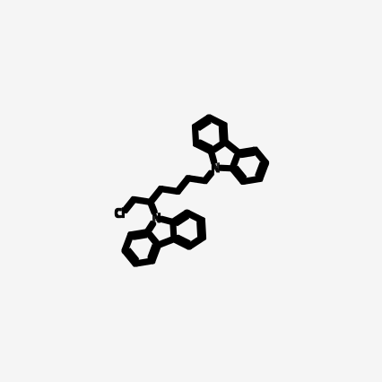 ClCC(CCCCn1c2ccccc2c2ccccc21)n1c2ccccc2c2ccccc21